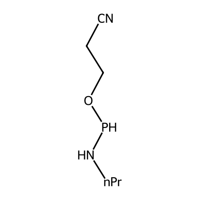 CCCNPOCCC#N